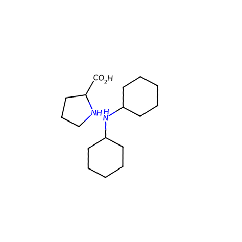 C1CCC(NC2CCCCC2)CC1.O=C(O)C1CCCN1